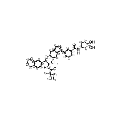 C[C@H](NC(=O)C(C)(F)F)[C@H](Oc1ccc2c(cnn2-c2cccc(C(=O)N[C@@H]3CCS(O)(O)C3)c2)c1)c1ccc2c(c1)OCOC2